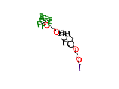 C[C@]12CC[C@@H]3c4ccc(OCCCOCCI)cc4CC[C@H]3[C@@H]1CC[C@@H]2OCCCOC(C(F)(F)F)(C(F)(F)F)C(F)(F)F